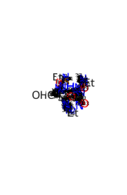 CCc1nc(C)sc1C(=O)Nc1nc2cc(C=O)cc(SC)c2n1C/C=C/Cn1c(NC(=O)c2cc(C)nn2CC)nc2cc(C(N)=O)cc(OCCCN3CCN(CC)CC3)c21